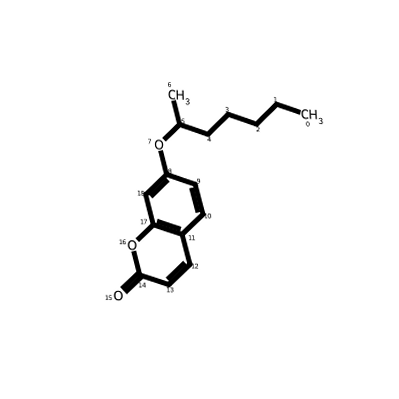 CCCCCC(C)Oc1ccc2ccc(=O)oc2c1